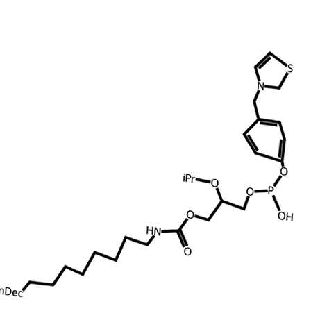 CCCCCCCCCCCCCCCCCCNC(=O)OCC(COP(O)Oc1ccc(CN2C=CSC2)cc1)OC(C)C